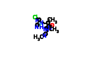 CCN1CCC(Cn2ncc3c4c(CCNc5ccc(Cl)nc5-c5ccncc5F)cc(C)cc4c(=O)n(C)c32)CC1